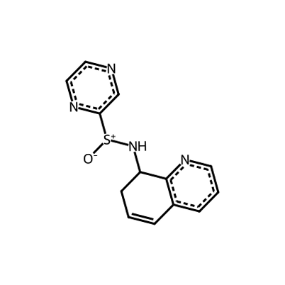 [O-][S+](NC1CC=Cc2cccnc21)c1cnccn1